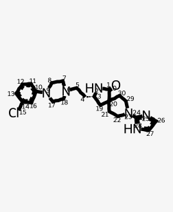 O=C1N[C@@H](CCN2CCN(c3cccc(Cl)c3)CC2)CC12CCN(c1ncc[nH]1)CC2